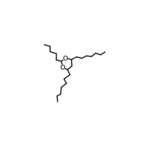 CCCCCCCC1CC(CCCCCCC)OC(CCCCC)O1